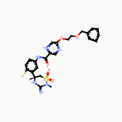 CN1C(=N)N[C@](C)(c2cc(NC(=O)c3cnc(OCCOCc4ccccc4)cn3)ccc2F)CS1(=O)=O